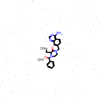 COCC1C(=O)N(Cc2ccc3c(N)ncnc3c2)CCN1C(OC=O)c1ccccc1